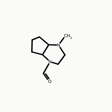 CN1CCN(C=O)C2CCCC21